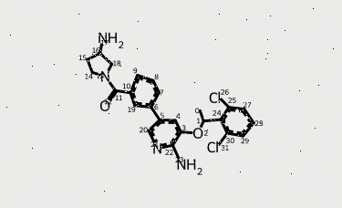 CC(Oc1cc(-c2cccc(C(=O)N3CCC(N)C3)c2)cnc1N)c1c(Cl)cccc1Cl